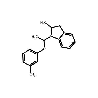 Cc1cccc(OC(C)N2c3ccccc3CC2C)c1